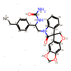 N#CCc1ccc(C(CN2C(=O)C3(COc4cc5c(cc43)OCO5)c3ccccc32)NC(N)=O)cc1